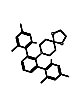 Cc1cc(C)c(-c2cccc(-c3c(C)cc(C)cc3C)c2P2CCC3(CC2)OCCO3)c(C)c1